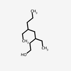 CCCC(CC)CC(CC)CCO